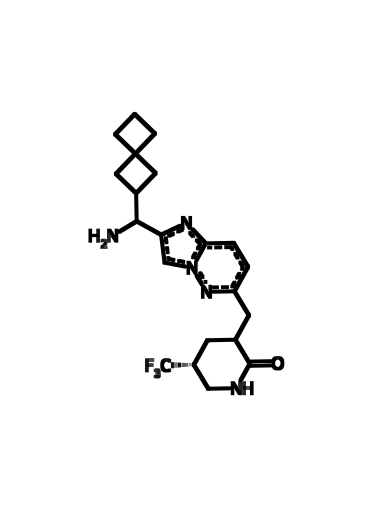 NC(c1cn2nc(CC3C[C@@H](C(F)(F)F)CNC3=O)ccc2n1)C1CC2(CCC2)C1